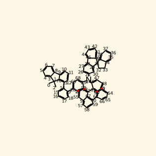 CC1(C)c2ccccc2-c2cccc(-c3ccccc3-c3ccc(N(c4ccc5c(c4)C4(CCc6ccccc64)c4ccccc4-5)c4ccccc4-c4cccc5cccc(-c6ccccc6)c45)cc3)c21